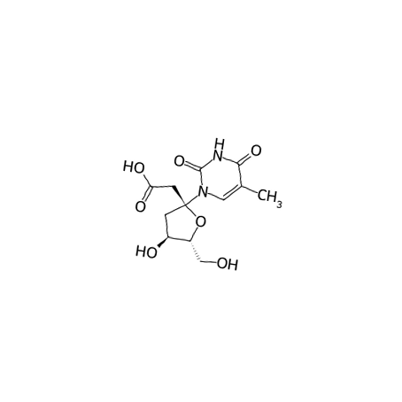 Cc1cn([C@@]2(CC(=O)O)C[C@H](O)[C@@H](CO)O2)c(=O)[nH]c1=O